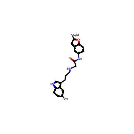 CCOC(=O)c1cc2cc(NC(=O)CNCCCc3c[nH]c4ccc(C#N)cc34)ccc2o1